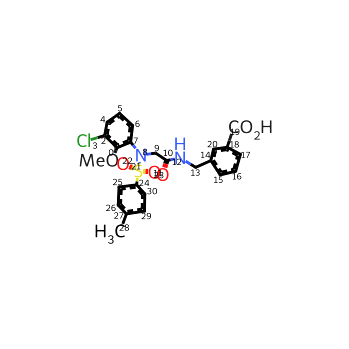 COc1c(Cl)cccc1N(CC(=O)NCc1cccc(C(=O)O)c1)S(=O)(=O)c1ccc(C)cc1